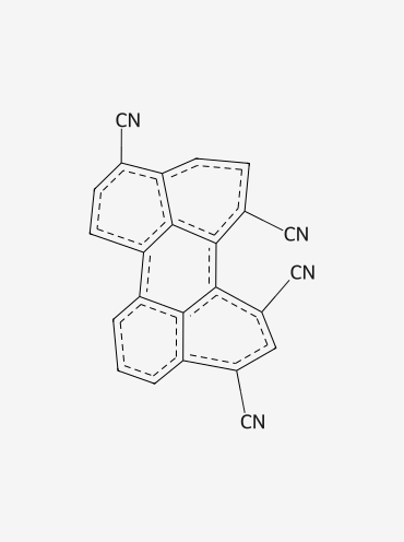 N#Cc1ccc2c3cccc4c(C#N)cc(C#N)c(c5c(C#N)ccc1c25)c43